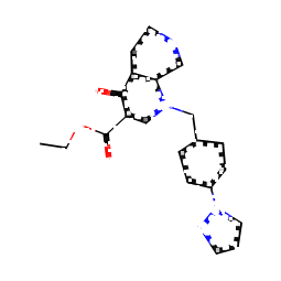 CCOC(=O)c1cn(Cc2ccc(-n3cccn3)cc2)c2cnccc2c1=O